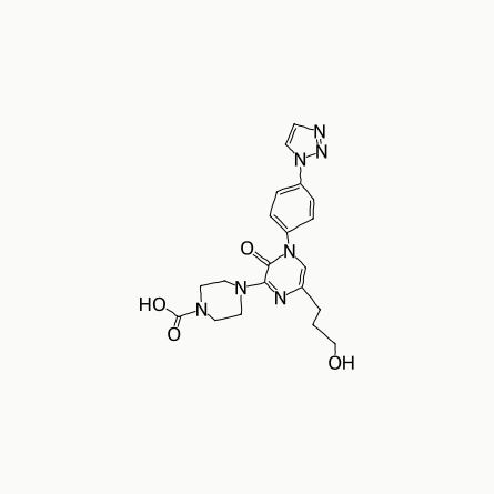 O=C(O)N1CCN(c2nc(CCCO)cn(-c3ccc(-n4ccnn4)cc3)c2=O)CC1